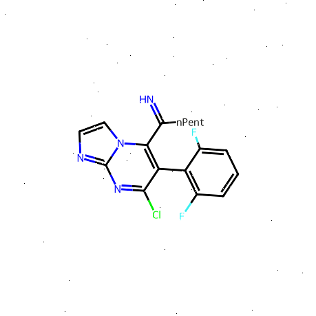 CCCCCC(=N)c1c(-c2c(F)cccc2F)c(Cl)nc2nccn12